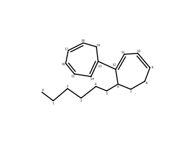 CCCCCCC1CCC=CC=C1C1=CC=CC=CC1